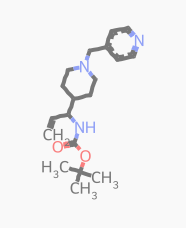 C=CC(NC(=O)OC(C)(C)C)C1CCN(Cc2ccncc2)CC1